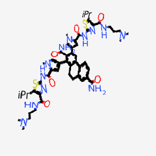 CC(C)c1sc(NC(=O)c2cc(-c3cc4c(c(-c5cc(C(=O)Nc6nc(C(=O)NCCCN(C)C)c(C(C)C)s6)n(C)c5)c3C(N)=O)CCc3cc(C(N)=O)ccc3-4)cn2C)nc1C(=O)NCCCN(C)C